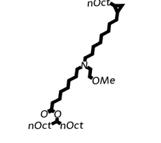 CCCCCCCCC(CCCCCCCC)OC(=O)CCCCCCCN(CCCCCCCCC1CC1CCCCCCCC)CCOC